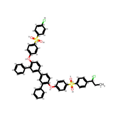 CCC(Cl)c1ccc(S(=O)(=O)c2ccc(Oc3ccc(-c4ccc(Oc5ccc(S(=O)(=O)c6ccc(Cl)cc6)cc5)c(-c5ccccc5)c4)cc3-c3ccccc3)cc2)cc1